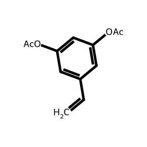 C=Cc1cc(OC(C)=O)cc(OC(C)=O)c1